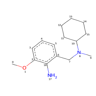 COc1cccc(CN(C)C2CCCCC2)c1N